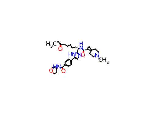 CCC(=O)CCCCC[C@H](NC(=O)[C@H]1CC12CCN(C)CC2)c1ncc(-c2ccc(C(=O)NC3CCOC3)cc2)[nH]1